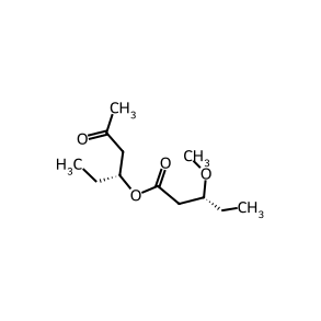 CC[C@H](CC(=O)O[C@H](CC)CC(C)=O)OC